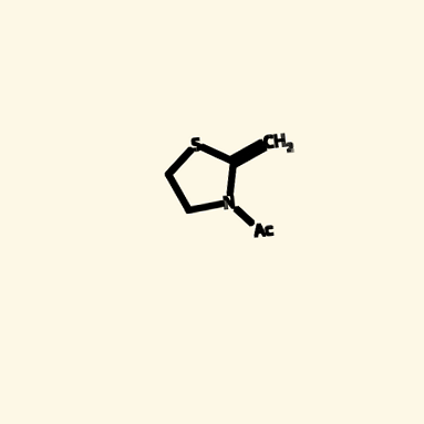 C=C1SCCN1C(C)=O